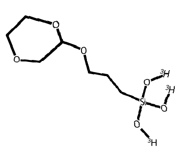 [3H]O[Si](CCCOC1COCCO1)(O[3H])O[3H]